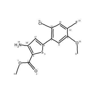 COC(=O)c1sc(-c2cc(OC)c(F)cc2Cl)cc1N